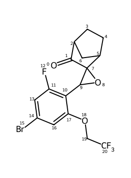 O=C1C2CCC(C2)C12OC2c1c(F)cc(Br)cc1OCC(F)(F)F